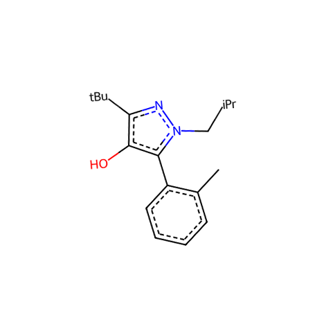 Cc1ccccc1-c1c(O)c(C(C)(C)C)nn1CC(C)C